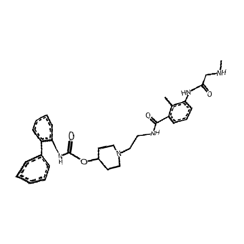 CNCC(=O)Nc1cccc(C(=O)NCCN2CCC(OC(=O)Nc3ccccc3-c3ccccc3)CC2)c1C